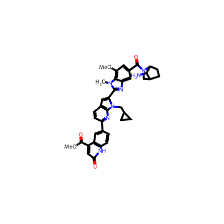 COC(=O)c1cc(=O)[nH]c2ccc(-c3ccc4cc(-c5nc6cc(C(=O)N7CC8CCC7C8N)cc(OC)c6n5C)n(CC5CC5)c4n3)cc12